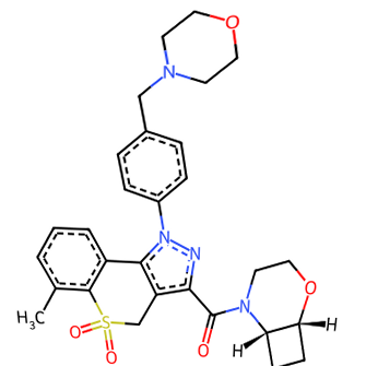 Cc1cccc2c1S(=O)(=O)Cc1c(C(=O)N3CCO[C@@H]4CC[C@@H]43)nn(-c3ccc(CN4CCOCC4)cc3)c1-2